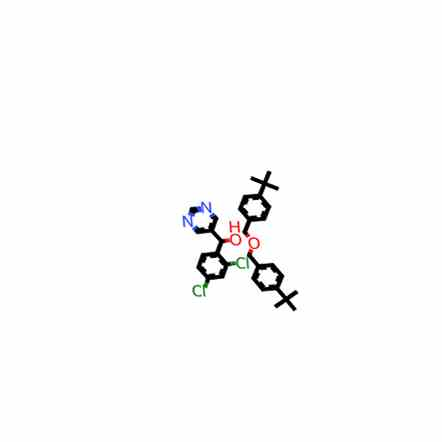 CC(C)(C)c1ccc(COCc2ccc(C(C)(C)C)cc2)cc1.OC(c1cncnc1)c1ccc(Cl)cc1Cl